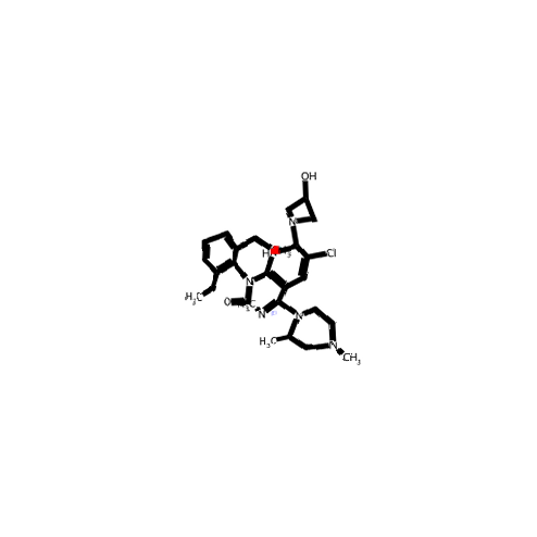 CCc1cccc(CC)c1N(C=O)C1=C(/C(=N\C)N2CCN(C)CC2C)C=C(Cl)C(N2CC(O)C2)N1